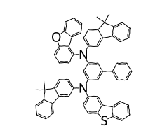 CC1(C)c2ccccc2-c2cc(N(c3cc(-c4ccccc4)cc(N(c4ccc5c(c4)-c4ccccc4C5(C)C)c4cccc5oc6ccccc6c45)c3)c3ccc4sc5ccccc5c4c3)ccc21